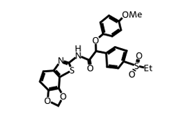 CCS(=O)(=O)c1ccc(C(Oc2ccc(OC)cc2)C(=O)Nc2nc3ccc4c(c3s2)OCO4)cc1